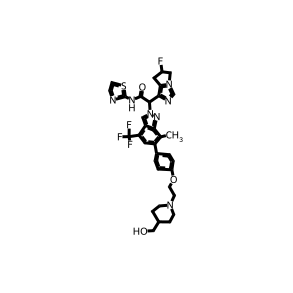 Cc1c(-c2ccc(OCCN3CCC(CO)CC3)cc2)cc(C(F)(F)F)c2cn(C(C(=O)Nc3nccs3)c3ncn4c3CC(F)C4)nc12